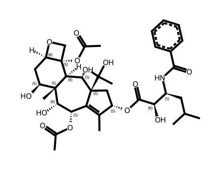 CC(=O)O[C@H]1C2=C(C)[C@@H](OC(=O)[C@H](O)[C@H](CC(C)C)NC(=O)c3ccccc3)C[C@@]2(C(C)(C)O)[C@@H](O)[C@@H]2[C@]3(OC(C)=O)CO[C@@H]3C[C@H](O)[C@@]2(C)[C@H]1O